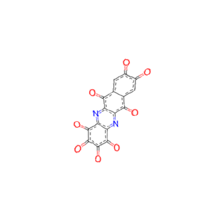 O=c1cc2c(=O)c3nc4c(=O)c(=O)c(=O)c(=O)c4nc3c(=O)c-2cc1=O